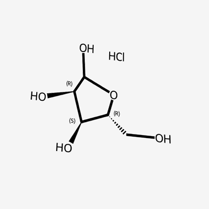 Cl.OC[C@H]1OC(O)[C@H](O)[C@@H]1O